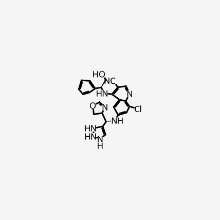 N#Cc1cnc2c(Cl)cc(N[C@H](C3=CNNN3)C3COC=N3)cc2c1N[C@H](CO)c1ccccc1